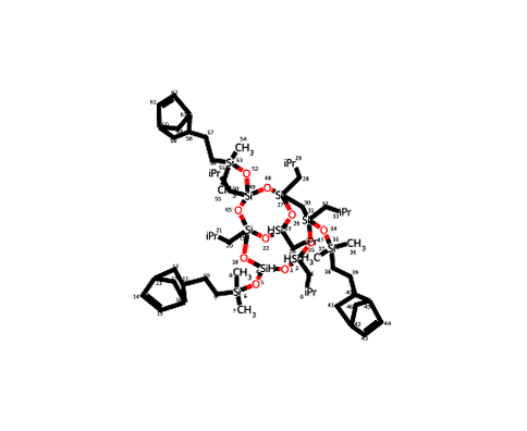 CC(C)C[SiH]1O[SiH](O[Si](C)(C)CCC2CC3C=CC2C3)O[Si]2(CC(C)C)O[SiH](CC(C)C)O[Si](CC(C)C)(C[Si](CC(C)C)(O[Si](C)(C)CCC3CC4C=CC3C4)O1)O[Si](CC(C)C)(O[Si](C)(C)CCC1CC3C=CC1C3)O2